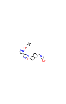 C[Si](C)(C)CCOCn1nccc1-c1cnc(Oc2ccc3cc(CN4CC[C@@H](O)C4)ccc3c2)nc1